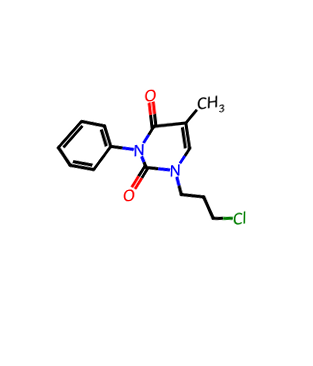 Cc1cn(CCCCl)c(=O)n(-c2ccccc2)c1=O